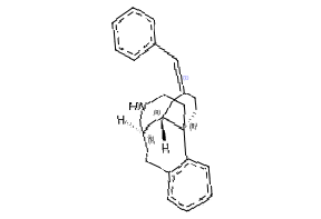 C(=C1\CC[C@]23CCN[C@H](Cc4ccccc42)[C@@H]3C1)/c1ccccc1